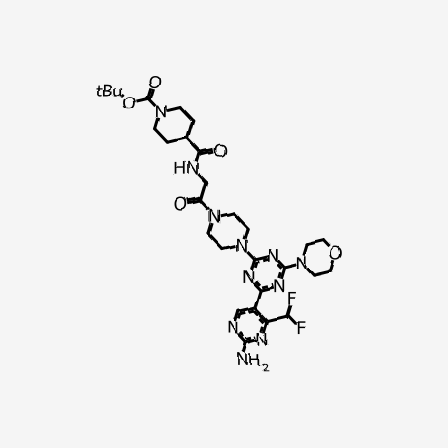 CC(C)(C)OC(=O)N1CCC(C(=O)NCC(=O)N2CCN(c3nc(-c4cnc(N)nc4C(F)F)nc(N4CCOCC4)n3)CC2)CC1